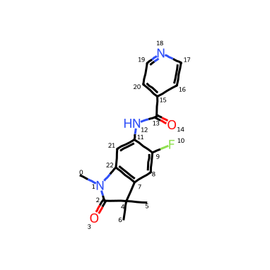 CN1C(=O)C(C)(C)c2cc(F)c(NC(=O)c3ccncc3)cc21